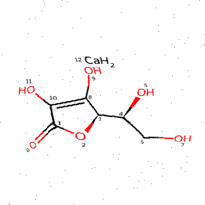 O=C1O[C@H]([C@@H](O)CO)C(O)=C1O.[CaH2]